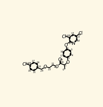 CC(Oc1ccc(Oc2ncc(Cl)cc2Cl)cc1)C(=O)OCCOCc1ccc(Cl)cc1